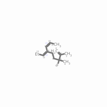 C=C(C)C(C)(F)CCC(/C=C\C)=C/CC